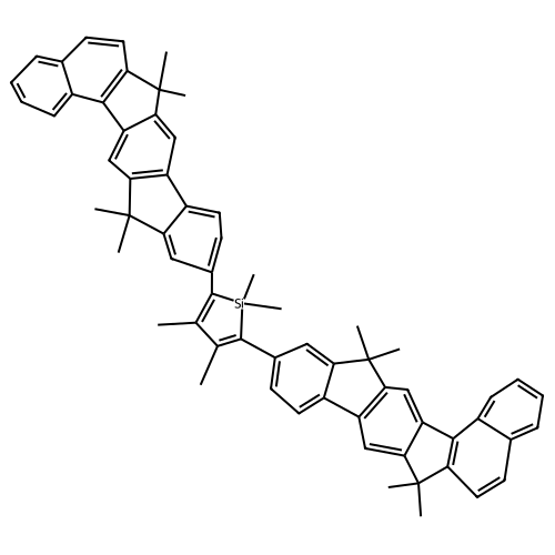 CC1=C(c2ccc3c(c2)C(C)(C)c2cc4c(cc2-3)C(C)(C)c2ccc3ccccc3c2-4)[Si](C)(C)C(c2ccc3c(c2)C(C)(C)c2cc4c(cc2-3)C(C)(C)c2ccc3ccccc3c2-4)=C1C